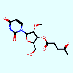 CO[C@H]1C(n2ccc(=O)[nH]c2=O)O[C@H](CO)[C@H]1OC(=O)CCC(C)=O